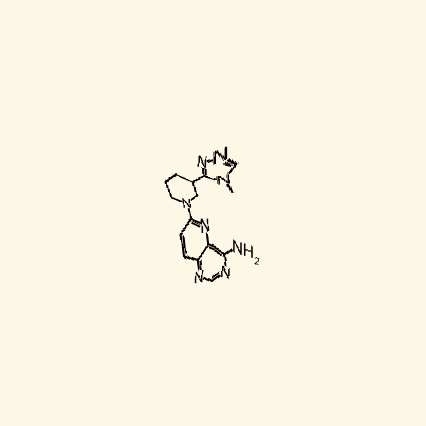 Cn1cnnc1C1CCCN(c2ccc3ncnc(N)c3n2)C1